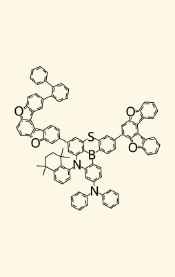 CC1(C)CCC(C)(C)c2c(N3c4cc(N(c5ccccc5)c5ccccc5)ccc4B4c5ccc(-c6cc7oc8ccccc8c7c7c6oc6ccccc67)cc5Sc5cc(-c6ccc7c(c6)oc6ccc8oc9ccc(-c%10ccccc%10-c%10ccccc%10)cc9c8c67)cc3c54)cccc21